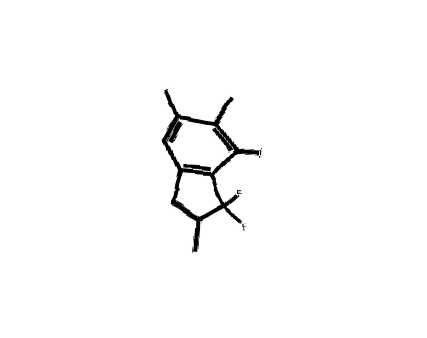 Cc1cc2c(c(I)c1C)C(F)(F)C(C)C2